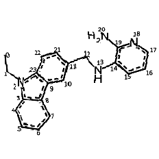 CCn1c2ccccc2c2cc(CNc3cccnc3N)ccc21